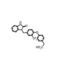 O=C(O)Cc1ccc(Oc2ccc(CC3C(=O)Nc4ccccc43)cc2C(F)(F)F)cc1